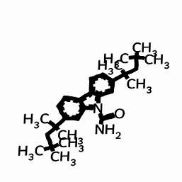 CC(C)(C)CC(C)(C)c1ccc2c3ccc(C(C)(C)CC(C)(C)C)cc3n(C(N)=O)c2c1